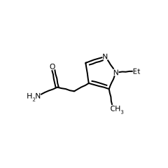 CCn1ncc(CC(N)=O)c1C